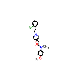 CC(C)Oc1ccc(N(C)CCC2(O)CCN(CCc3ccccc3Br)CC2)cc1